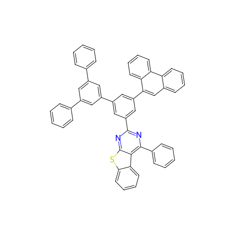 c1ccc(-c2cc(-c3ccccc3)cc(-c3cc(-c4nc(-c5ccccc5)c5c(n4)sc4ccccc45)cc(-c4cc5ccccc5c5ccccc45)c3)c2)cc1